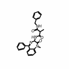 CC(C(=O)NCc1ccccc1)C(=O)NC1N=C(c2ccccc2)c2ccccc2N(C)C1=O